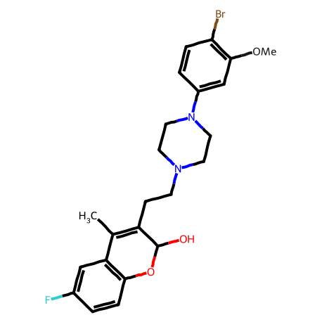 COc1cc(N2CCN(CCC3=C(C)c4cc(F)ccc4OC3O)CC2)ccc1Br